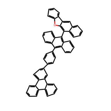 c1ccc2c(-c3c4ccccc4c(-c4ccc(-c5ccc6c7ccccc7c7ccccc7c6c5)cc4)c4ccccc34)c3oc4ccccc4c3cc2c1